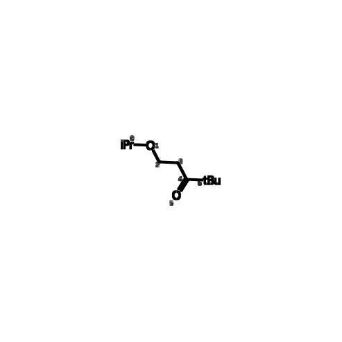 CC(C)OCCC(=O)C(C)(C)C